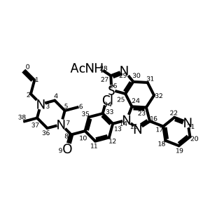 C=CCN1CC(C)N(C(=O)c2ccc(-n3nc(-c4cccnc4)c4c3-c3sc(NC(C)=O)nc3CC4)c(Cl)c2)CC1C